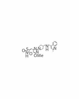 COc1cc(/C=C2/SC(=O)NC2=O)nc(N2CCC(CNCc3cc(C)nc4ccccc34)CC2)n1